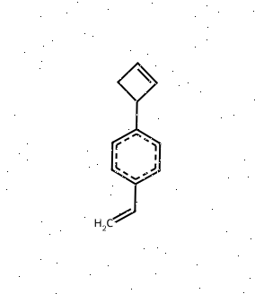 C=Cc1ccc(C2C=CC2)cc1